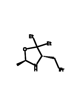 CCC1(CC)O[C@H](C)N[C@H]1CC(C)C